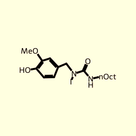 CCCCCCCCNC(=O)N(I)Cc1ccc(O)c(OC)c1